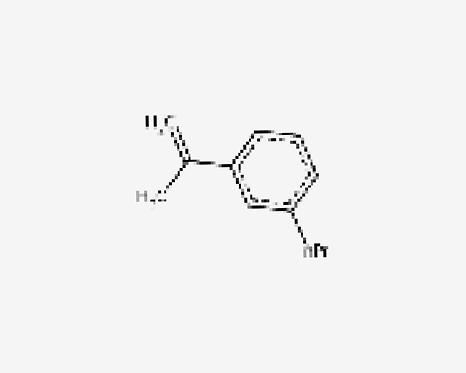 C=C(C)c1cccc(CCC)c1